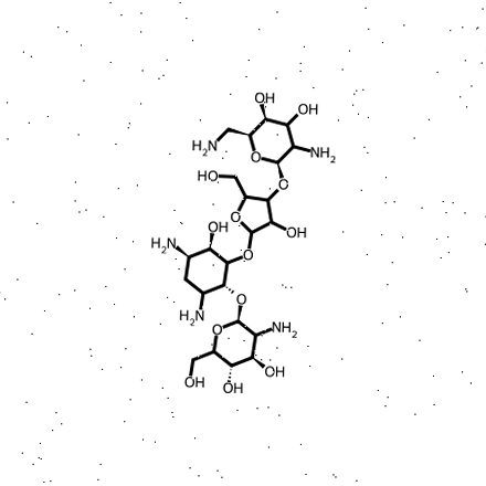 NC[C@@H]1O[C@H](OC2C(CO)OC(OC3[C@H](O[C@@H]4OC(CO)[C@@H](O)[C@H](O)C4N)C(N)C[C@@H](N)[C@H]3O)C2O)C(N)C(O)[C@@H]1O